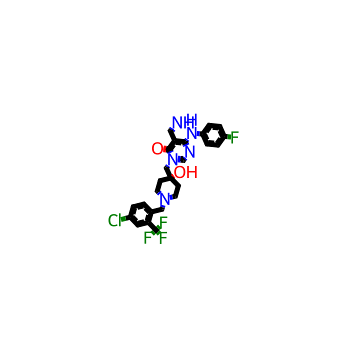 N=Cc1c(Nc2ccc(F)cc2)ncn(CC2(O)CCN(Cc3ccc(Cl)cc3C(F)(F)F)CC2)c1=O